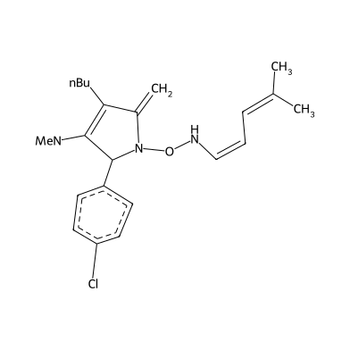 C=C1C(CCCC)=C(NC)C(c2ccc(Cl)cc2)N1ON/C=C\C=C(C)C